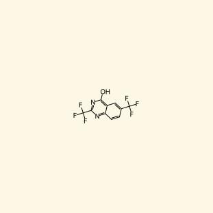 Oc1nc(C(F)(F)F)nc2ccc(C(F)(F)F)cc12